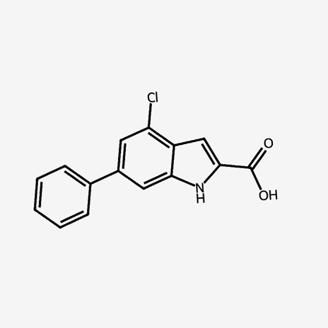 O=C(O)c1cc2c(Cl)cc(-c3ccccc3)cc2[nH]1